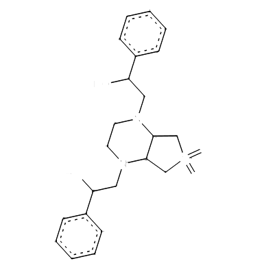 O=S1(=O)CC2C(C1)N(CC(O)c1ccccc1)CCN2CC(O)c1ccccc1